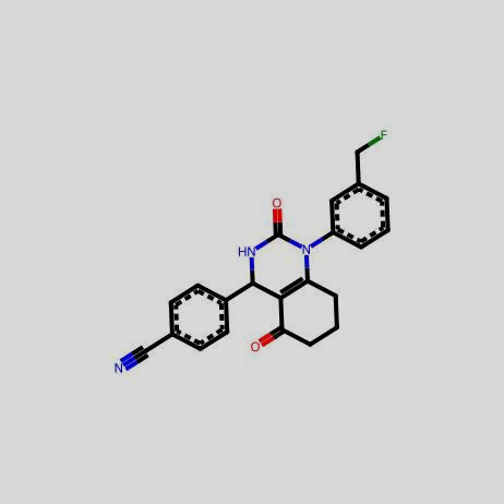 N#Cc1ccc(C2NC(=O)N(c3cccc(CF)c3)C3=C2C(=O)CCC3)cc1